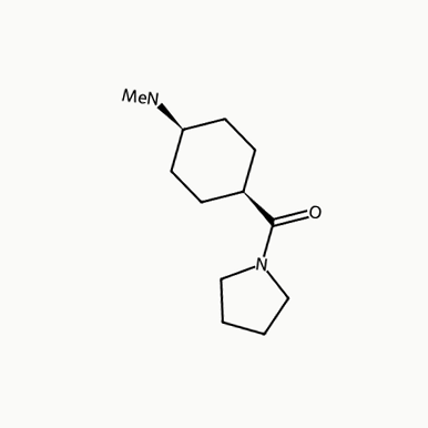 CN[C@H]1CC[C@@H](C(=O)N2CCCC2)CC1